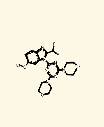 CCOc1ccc2nc(C(F)F)n(-c3nc(N4CCOCC4)nc(N4CCOCC4)n3)c2c1